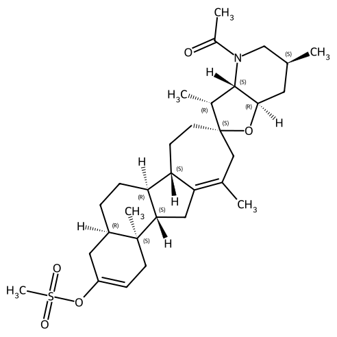 CC(=O)N1C[C@@H](C)C[C@H]2O[C@]3(CC[C@@H]4C(=C(C)C3)C[C@H]3[C@H]4CC[C@@H]4CC(OS(C)(=O)=O)=CC[C@@]43C)[C@H](C)[C@@H]21